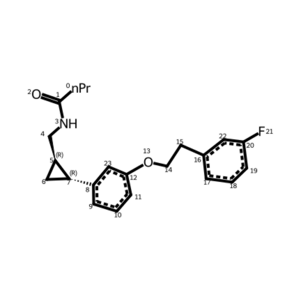 CCCC(=O)NC[C@@H]1C[C@H]1c1cccc(OCCc2cccc(F)c2)c1